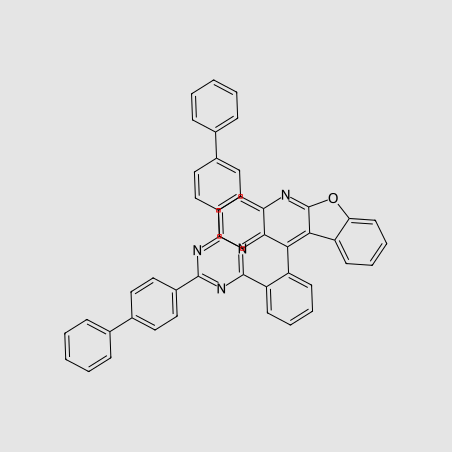 c1ccc(-c2ccc(-c3nc(-c4ccc(-c5ccccc5)cc4)nc(-c4ccccc4-c4c5ccccc5nc5oc6ccccc6c45)n3)cc2)cc1